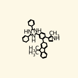 Cc1[nH]ccc1-c1ccc(C2NC(C3C=CC=CC3)NC(C3C=CCCC3)N2)cc1C1C=C2C(=CC1)c1ccccc1C2(C)C